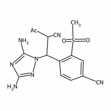 CC(=O)C(C#N)C(c1ccc(C#N)cc1S(C)(=O)=O)n1nc(N)nc1N